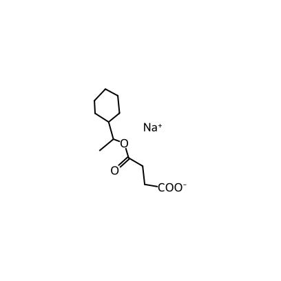 CC(OC(=O)CCC(=O)[O-])C1CCCCC1.[Na+]